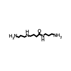 NCCCNCCCC(=O)NCCCN